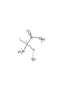 C=C(O)C(C)(N)CO